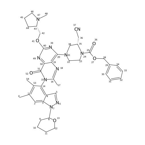 Cc1cc2c(cnn2C2CCCCO2)c(-n2c(C)nc3c(N4CCN(C(=O)OCc5ccccc5)[C@@H](CC#N)C4)nc(OC[C@@H]4CCCN4C)nc3c2=O)c1C